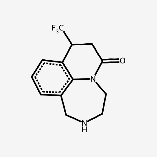 O=C1CC(C(F)(F)F)c2cccc3c2N1CCNC3